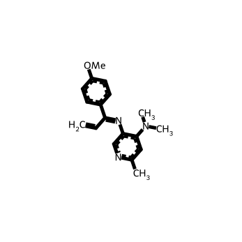 C=C/C(=N\c1cnc(C)cc1N(C)C)c1ccc(OC)cc1